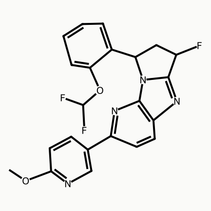 COc1ccc(-c2ccc3nc4n(c3n2)C(c2ccccc2OC(F)F)CC4F)cn1